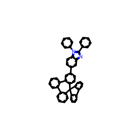 c1ccc(-c2nc3cc(-c4ccc5c(c4)-c4ccccc4-c4ccccc4C54c5ccccc5-c5ccccc54)ccc3n2-c2ccccc2)cc1